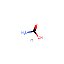 NC(=O)O.[Pt]